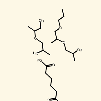 CC(O)COC(C)CO.CCCOCC(C)OCC(C)O.O=C(O)CCCCC(=O)O